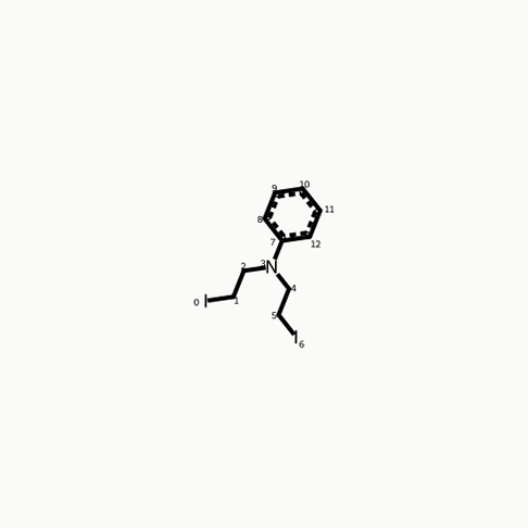 ICCN(CCI)c1ccccc1